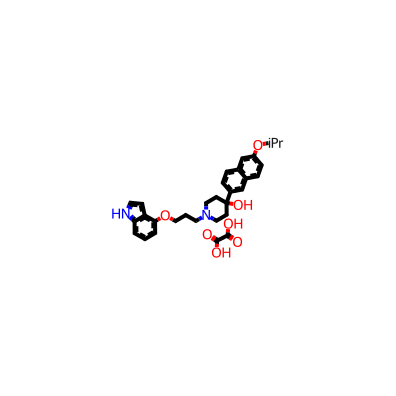 CC(C)Oc1ccc2cc(C3(O)CCN(CCCOc4cccc5[nH]ccc45)CC3)ccc2c1.O=C(O)C(=O)O